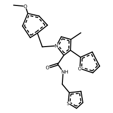 COc1ccc(Cn2cc(C)c(-c3ccco3)c2C(=O)NCc2cccs2)cc1